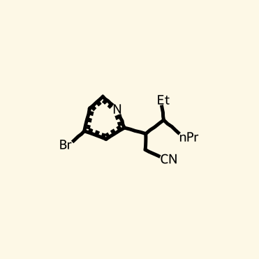 CCCC(CC)C(CC#N)c1cc(Br)ccn1